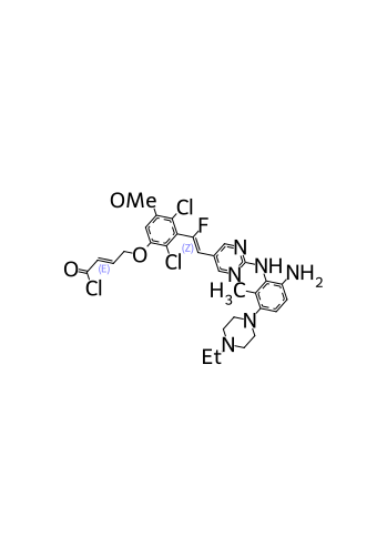 CCN1CCN(c2ccc(N)c(Nc3ncc(/C=C(\F)c4c(Cl)c(OC)cc(OC/C=C/C(=O)Cl)c4Cl)cn3)c2C)CC1